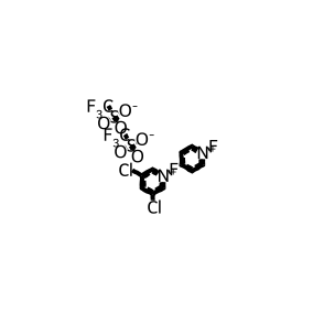 F[n+]1cc(Cl)cc(Cl)c1.F[n+]1ccccc1.O=S(=O)([O-])C(F)(F)F.O=S(=O)([O-])C(F)(F)F